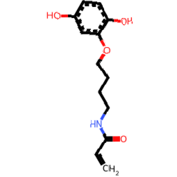 C=CC(=O)NCCCCOc1cc(O)ccc1O